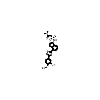 CC(C)Oc1ccc(-c2nnc(-c3cccc4c3CC[C@@H]4NS(=O)(=O)CC(=O)N(C)C)s2)cc1C#N